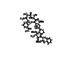 CC[C@H](C)[C@@H]([C@@H](CC(=O)N1CCC[C@H]1[C@H](OC)[C@@H](C)C(=O)N[C@@H](Cc1ccccc1)C(=O)OC)OC)N(C)C(=O)[C@@H](NC(=O)[C@H](C(C)C)N(C)Cc1cccc(NC(C)C)c1)C(C)C